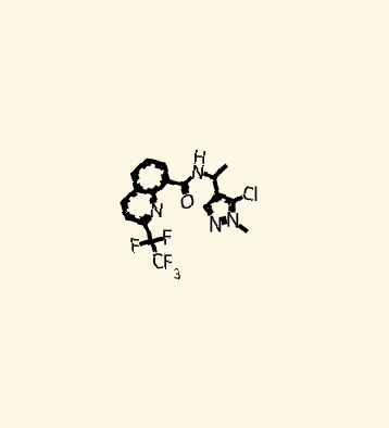 CC(NC(=O)c1cccc2ccc(C(F)(F)C(F)(F)F)nc12)c1cnn(C)c1Cl